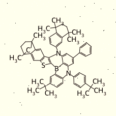 CC(C)(C)c1ccc(N2c3ccc(C(C)(C)C)cc3B3c4sc5cc6c(cc5c4N(c4ccc5c(c4)C(C)(C)CCC5(C)C)c4cc(-c5ccccc5)cc2c43)C2(C)CCC6(C)CC2)cc1